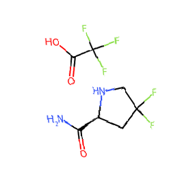 NC(=O)[C@@H]1CC(F)(F)CN1.O=C(O)C(F)(F)F